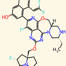 CC[C@@H]1CN2c3nc(OC[C@@]45CCCN4C[C@H](F)C5)nc4c(F)c(-c5cc(O)cc6ccc(F)c(C=C(F)F)c56)nc(c34)OC[C@@H]2CN1